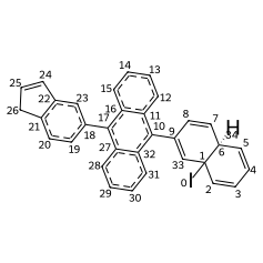 IC12C=CC=C[C@@H]1C=CC(c1c3ccccc3c(-c3ccc4c(c3)C=CC4)c3ccccc13)=C2